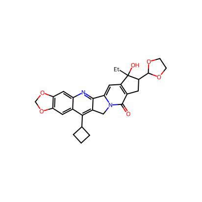 CCC1(O)c2cc3n(c(=O)c2CC1C1OCCO1)Cc1c-3nc2cc3c(cc2c1C1CCC1)OCO3